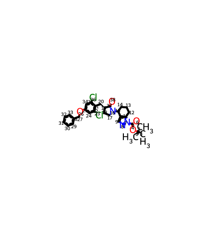 CC(C)(C)OC(=O)n1ncc2c1CCCC2N1CC[C@@H](Cc2c(Cl)cc(OCc3ccccc3)cc2Cl)C1=O